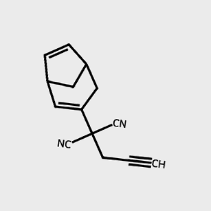 C#CCC(C#N)(C#N)C1=CC2C=CC(C1)C2